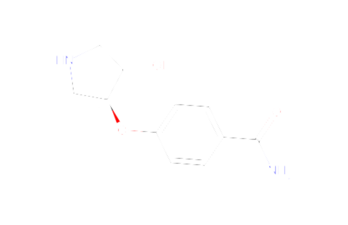 NC(=O)c1ccc(O[C@H]2CNC[C@@H]2O)cc1